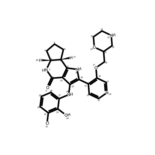 O=C1N[C@@H]2CCC[C@@H]2c2[nH]c(-c3ccncc3OCC3CNCCO3)c(Nc3cccc(Cl)c3O)c21